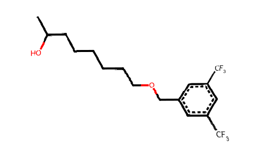 CC(O)CCCCCCOCc1cc(C(F)(F)F)cc(C(F)(F)F)c1